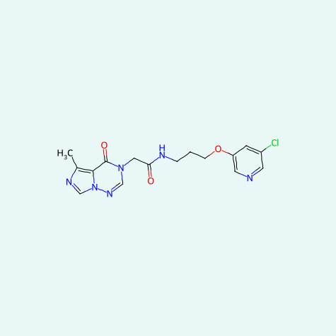 Cc1ncn2ncn(CC(=O)NCCCOc3cncc(Cl)c3)c(=O)c12